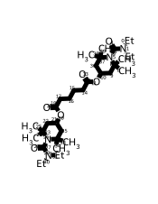 CCN(CC)C(=O)N1C(C)(C)CC(OC(=O)CCCCC(=O)OC2CC(C)(C)N(C(=O)N(CC)CC)C(C)(C)C2)CC1(C)C